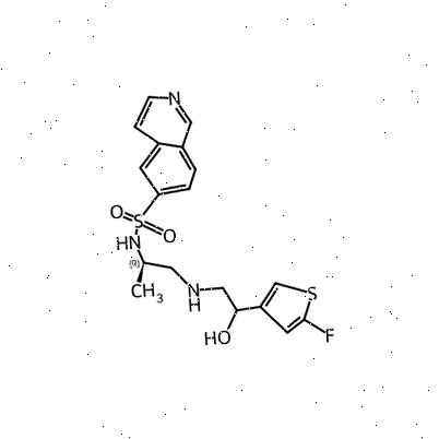 C[C@H](CNCC(O)c1csc(F)c1)NS(=O)(=O)c1ccc2cnccc2c1